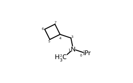 CC(C)N(C)CC1CCC1